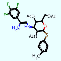 CC(=O)OCC1OC(Sc2ccc(C)cc2)C(OC(C)=O)C(N/C=C(\N)c2cc(F)c(F)c(F)c2)C1OC(C)=O